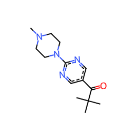 CN1CCN(c2ncc(C(=O)C(C)(C)C)cn2)CC1